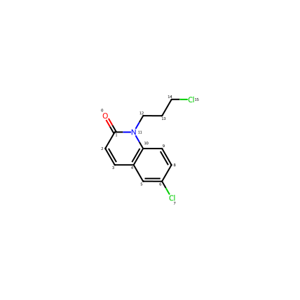 O=c1ccc2cc(Cl)ccc2n1CCCCl